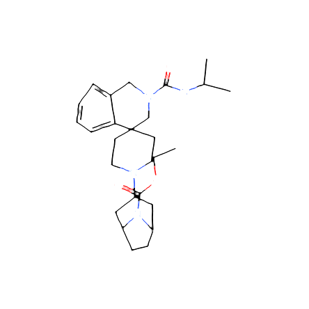 CCOC(=O)N1C2CCC1CC(N1CCC3(CC1)CN(C(=O)NC(C)C)Cc1ccccc13)C2